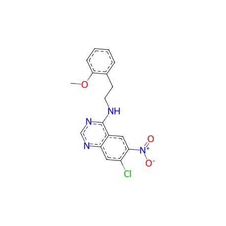 COc1ccccc1CCNc1ncnc2cc(Cl)c([N+](=O)[O-])cc12